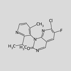 Cc1ccnc(C(C)C)c1-n1c(=O)ncc2cc(F)c(Cl)nc21